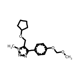 COCOc1ccc(-c2nnn(C)c2COC2CCCC2)cc1